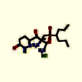 CCCC(CCC)S(=O)(=O)C[C@](N)(C(N)=O)C(=O)C1=NNC(=O)CC1.Cl